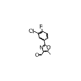 Cc1oc(-c2ccc(F)c(Cl)c2)nc1C=O